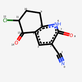 N#Cc1cc2c([nH]c1=O)CCC(Cl)C2=O